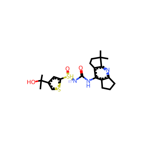 CC(C)(O)c1csc(/[SH](=O)=N/C(=O)Nc2c3c(nc4c2CCC4(C)C)CCC3)c1